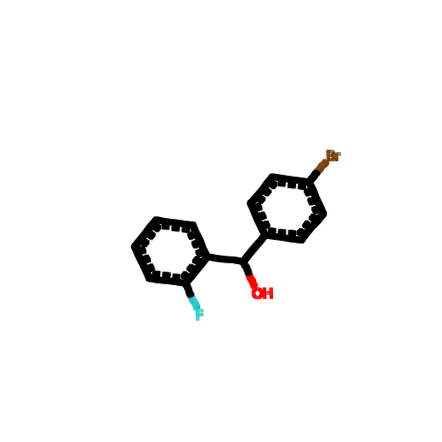 OC(c1ccc(Br)cc1)c1ccccc1F